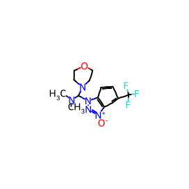 CN(C)C(N1CCOCC1)n1n[n+]([O-])c2cc(C(F)(F)F)ccc21